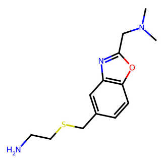 CN(C)Cc1nc2cc(CSCCN)ccc2o1